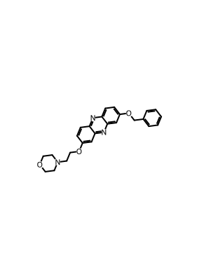 c1ccc(COc2ccc3nc4ccc(OCCN5CCOCC5)cc4nc3c2)cc1